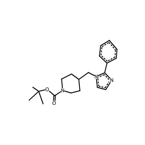 CC(C)(C)OC(=O)N1CCC(Cn2ccnc2-c2ccccc2)CC1